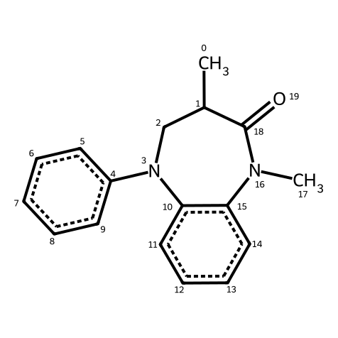 CC1CN(c2ccccc2)c2ccccc2N(C)C1=O